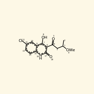 COC(C)CC(=O)c1c(O)c2cc(Cl)ccc2[nH]c1=O